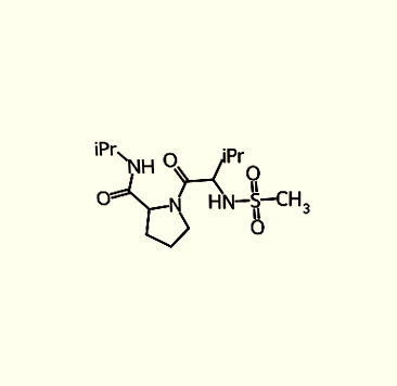 CC(C)NC(=O)C1CCCN1C(=O)C(NS(C)(=O)=O)C(C)C